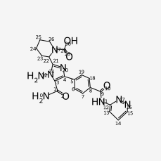 NC(=O)c1c(-c2ccc(C(=O)Nc3cccnn3)cc2)nc(C2CCCCN2C(=O)O)n1N